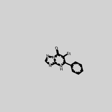 CCc1c(-c2ccccc2)[nH]c2ncnn2c1=O